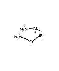 CC(C)ON.O=[N+]([O-])O